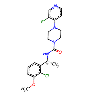 COc1cccc([C@@H](C)NC(=O)N2CCN(c3ccncc3F)CC2)c1Cl